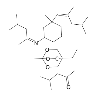 CC(=CC1(C)CCCC(N=C(C)CC(C)C)C1)CC(C)C.CC(=O)CC(C)C.CCC12COC(C)(OC1)OC2